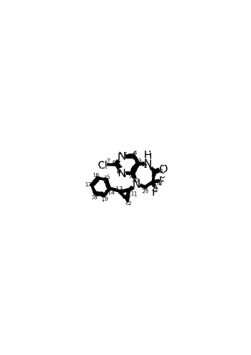 O=C1Nc2cnc(Cl)nc2N(C2CC2c2ccccc2)CC1(F)F